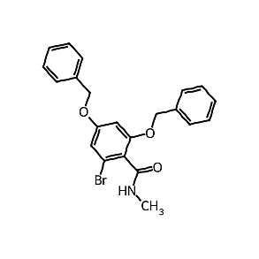 CNC(=O)c1c(Br)cc(OCc2ccccc2)cc1OCc1ccccc1